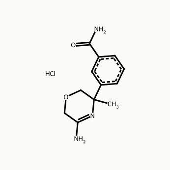 CC1(c2cccc(C(N)=O)c2)COCC(N)=N1.Cl